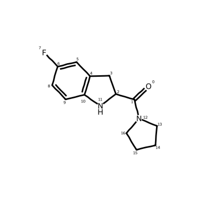 O=C(C1Cc2cc(F)ccc2N1)N1CCCC1